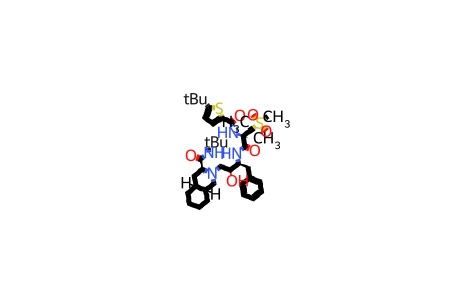 CC(C)(C)NC(=O)[C@@H]1C[C@@H]2CCCC[C@@H]2CN1C[C@@H](O)[C@H](Cc1ccccc1)NC(=O)[C@@H](NC(=O)c1ccc(C(C)(C)C)s1)C(C)(C)S(C)(=O)=O